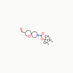 CC(C)(C)OC(=O)N1CCC2(CCC(C=O)CO2)CC1